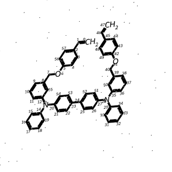 C=Cc1ccc(OCc2cccc(N(c3ccccc3)c3ccc(-c4ccc(N(c5ccccc5)c5cccc(COc6ccc(C=C)cc6)c5)cc4)cc3)c2)cc1